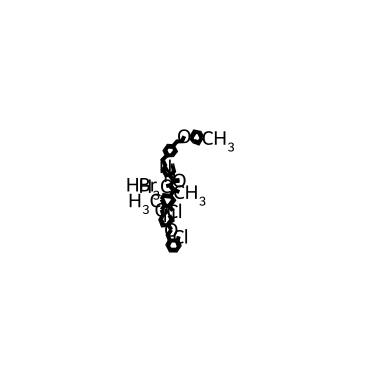 Br.C/C(C(=O)N1CCN(Cc2ccc(CCOc3ccc(C)cc3)cc2)CC1)=C(/C)c1cc(C)c(Oc2ccc(OCc3ccccc3Cl)cn2)c(Cl)c1